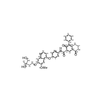 COc1cc2c(Oc3ccc(NC(=O)c4cc5c(n(-c6ccccc6)c4=O)CCCC5=O)nc3)ccnc2cc1OCCC(C)(O)CO